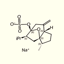 C=C1C[C@]2(OS(=O)(=O)[O-])O[C@@]3(C[C@H]2C(C)C)[C@@H](C)CC[C@@H]13.[Na+]